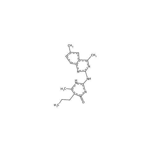 CCCc1c(C)[nH]c(Nc2nc(C)c3cc(C)ccc3n2)nc1=O